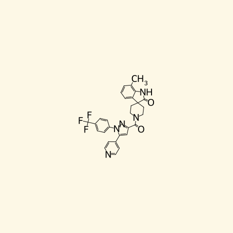 Cc1cccc2c1NC(=O)C21CCN(C(=O)c2cc(-c3ccncc3)n(-c3ccc(C(F)(F)F)cc3)n2)CC1